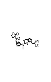 CCC(Cn1ccc2cnc(Nc3cnn(CC(=O)N4CCOC4=O)c3)nc21)C(C)C